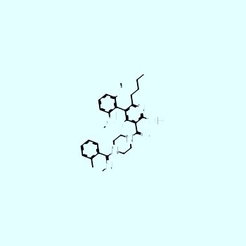 CCCCc1nc(O)c(C(=O)N2CCN(/C(=N/C)c3ccccc3C)CC2)c(O)c1-c1c(OC)cccc1OC